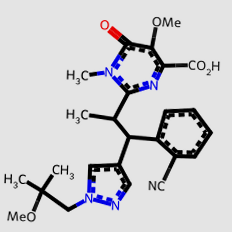 COc1c(C(=O)O)nc(C(C)C(c2cnn(CC(C)(C)OC)c2)c2ccccc2C#N)n(C)c1=O